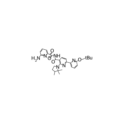 CC1CCN(c2nc(-c3cccc(OCC(C)(C)C)n3)ccc2C(=O)NS(=O)(=O)c2cccc(N)n2)C1(C)C